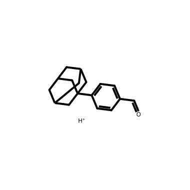 O=Cc1ccc(C23CC4CC(CC(C4)C2)C3)cc1.[H+]